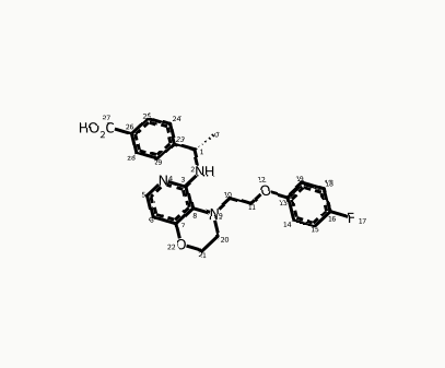 C[C@H](Nc1nccc2c1N(CCOc1ccc(F)cc1)CCO2)c1ccc(C(=O)O)cc1